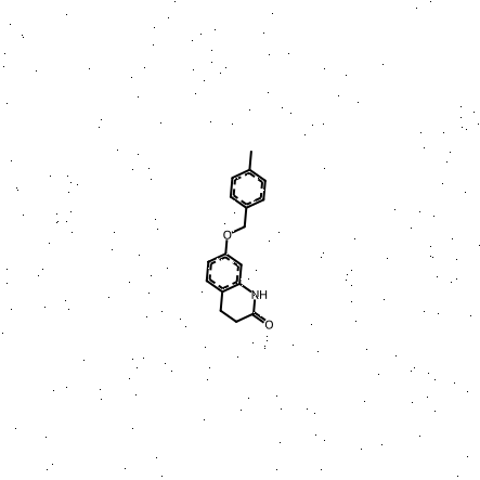 Cc1ccc(COc2ccc3c(c2)NC(=O)CC3)cc1